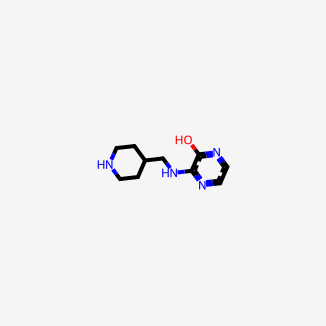 Oc1nccnc1NCC1CCNCC1